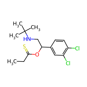 CCC(=S)OC(CNC(C)(C)C)c1ccc(Cl)c(Cl)c1